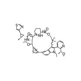 CCO[C@@H]1c2nc(cs2)-c2ccc3c(c2)c(c(-c2cccnc2[C@H](C)OC)n3CC)CC(C)(C)COC(=O)[C@@H]2CCCN(N2)C(=O)[C@H]1NC(=O)[C@@H]1[C@@H](C)[C@H]1c1cscn1